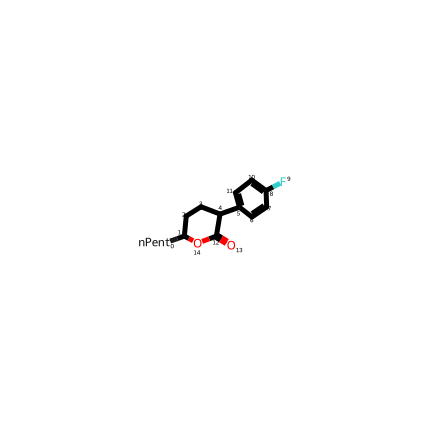 CCCCCC1CCC(c2ccc(F)cc2)C(=O)O1